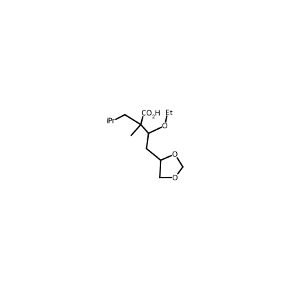 CCOC(CC1COCO1)C(C)(CC(C)C)C(=O)O